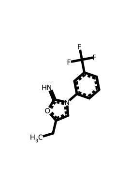 CCc1cn(-c2cccc(C(F)(F)F)c2)c(=N)o1